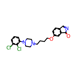 O=C1N=Cc2ccc(OCCCCN3CCN(c4cccc(Cl)c4Cl)CC3)cc21